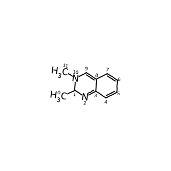 CC1N=c2ccccc2=CN1C